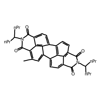 CCCC(CCC)N1C(=O)c2ccc3c4ccc5c6c(c(C)cc(c7ccc(c2c37)C1=O)c64)C(=O)N(C(CCC)CCC)C5=O